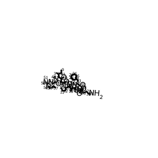 CCC(C)C(C(CC(=O)N1CCCC1C(OC)C(C)C(=O)N[C@@H](Cc1ccccc1)C(=O)NS(=O)(=O)CCCN)OC)N(C)C(=O)[C@@H](N=C(N(C)C)N(C)C)C(C)C